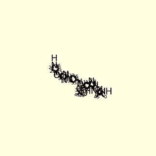 Cc1[nH]nc(Nc2ncnc3cc(OCC4CCN(c5ncc(OC6CCNCC6)cn5)CC4)c(S(=O)(=O)C(C)(C)C)cc23)c1C